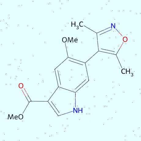 COC(=O)c1c[nH]c2cc(-c3c(C)noc3C)c(OC)cc12